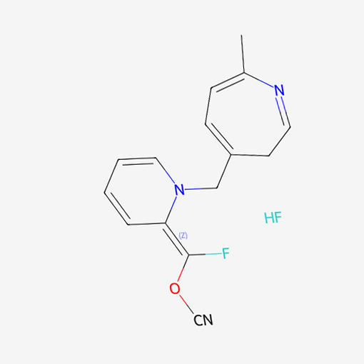 CC1=CC=C(CN2C=CC=C/C2=C(/F)OC#N)CC=N1.F